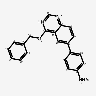 CC(=O)Nc1ccc(-c2ccc3ncnc(OCc4ccccc4)c3c2)cc1